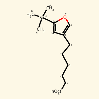 CCCCCCCCCCCCCc1coc([Si](C)(C)C)c1